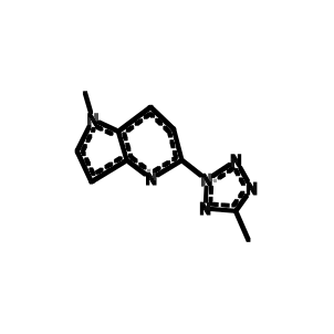 Cc1nnn(-c2ccc3c(ccn3C)n2)n1